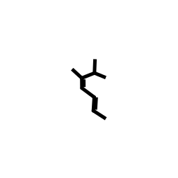 CC=CC=C(C)C(C)C